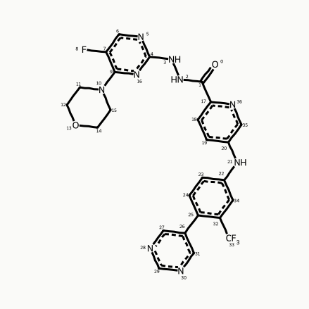 O=C(NNc1ncc(F)c(N2CCOCC2)n1)c1ccc(Nc2ccc(-c3cncnc3)c(C(F)(F)F)c2)cn1